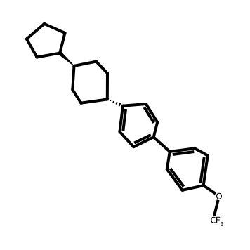 FC(F)(F)Oc1ccc(-c2ccc([C@H]3CC[C@H](C4CCCC4)CC3)cc2)cc1